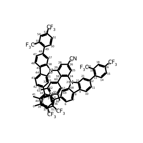 Cc1ccc(-c2ccc3c4ccc(-c5ccc(C(F)(F)F)cc5C(F)(F)F)cc4n(-c4cc(C#N)cc(-n5c6cc(-c7ccc(C(F)(F)F)cc7C)ccc6c6ccc(-c7ccc(C(F)(F)F)cc7C(F)(F)F)cc65)c4-c4cc(C)nc(C)c4)c3c2)c(C(F)(F)F)c1